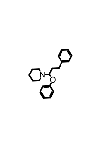 c1ccc(CCC(Oc2ccccc2)N2CCCCC2)cc1